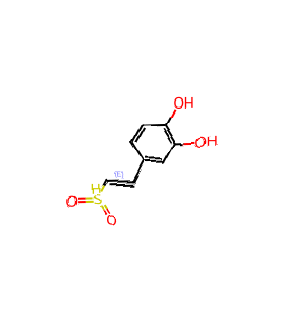 O=[SH](=O)/C=C/c1ccc(O)c(O)c1